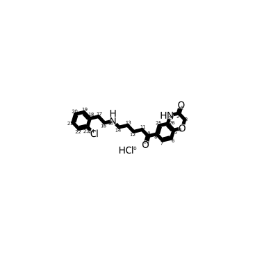 Cl.O=C1COc2ccc(C(=O)CCCCNCCc3ccccc3Cl)cc2N1